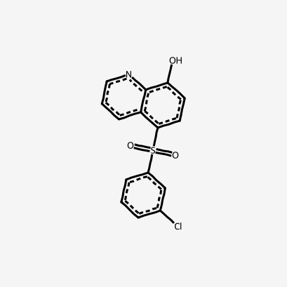 O=S(=O)(c1cccc(Cl)c1)c1ccc(O)c2ncccc12